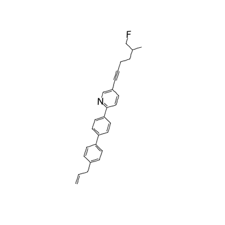 C=CCc1ccc(-c2ccc(-c3ccc(C#CCCC(C)CF)cn3)cc2)cc1